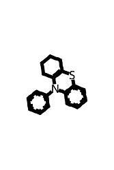 c1ccc(N2C3=C(CCCC3)Sc3ccccc32)cc1